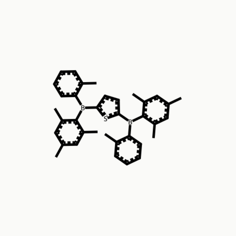 Cc1cc(C)c(B(c2ccc(B(c3ccccc3C)c3c(C)cc(C)cc3C)s2)c2ccccc2C)c(C)c1